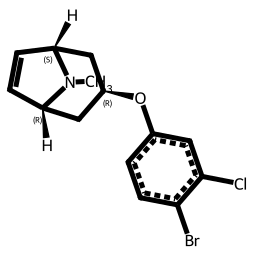 CN1[C@@H]2C=C[C@H]1C[C@H](Oc1ccc(Br)c(Cl)c1)C2